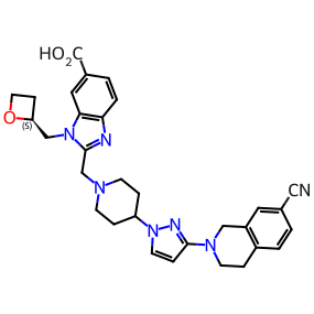 N#Cc1ccc2c(c1)CN(c1ccn(C3CCN(Cc4nc5ccc(C(=O)O)cc5n4C[C@@H]4CCO4)CC3)n1)CC2